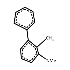 CNc1cccc(-c2ccccc2)c1C